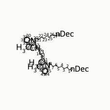 CCCCCCCCCCCCCCCCCCN1/C(=C/C=C/C=C/C=C/C2=[N+](CCCCCCCCCCCCCCCCCC)c3ccccc3C2(C)C)C(C)(C)c2ccccc21